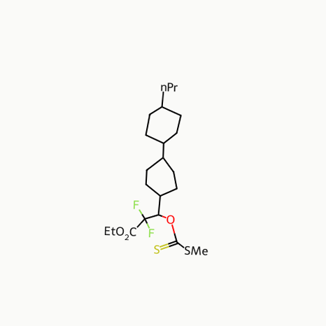 CCCC1CCC(C2CCC(C(OC(=S)SC)C(F)(F)C(=O)OCC)CC2)CC1